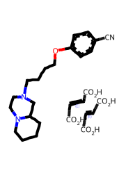 N#Cc1ccc(OCCCCN2CCN3CCCCC3C2)cc1.O=C(O)/C=C/C(=O)O.O=C(O)/C=C/C(=O)O